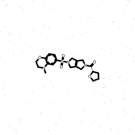 CN1CCOc2ccc(S(=O)(=O)N3CC4=C(CN(C(=O)[C@@H]5CCCO5)C4)C3)cc21